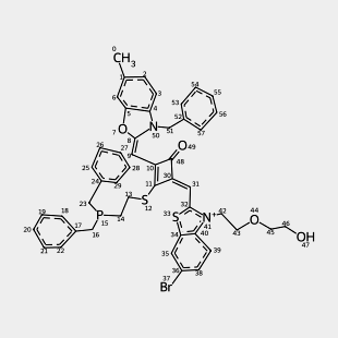 Cc1ccc2c(c1)O/C(=C/C1=C(SCCP(Cc3ccccc3)Cc3ccccc3)C(=C\c3sc4cc(Br)ccc4[n+]3CCOCCO)/C1=O)N2Cc1ccccc1